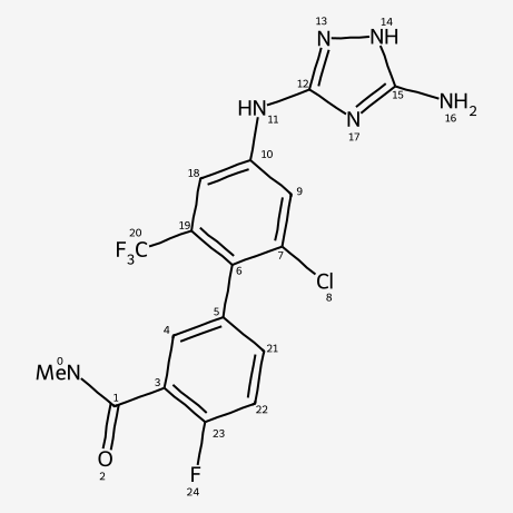 CNC(=O)c1cc(-c2c(Cl)cc(Nc3n[nH]c(N)n3)cc2C(F)(F)F)ccc1F